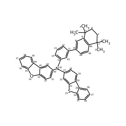 CC1(C)CCC(C)(C)c2cc(-c3cccc(N(c4ccc5c(c4)sc4ccccc45)c4ccc5oc6ccccc6c5c4)c3)ccc21